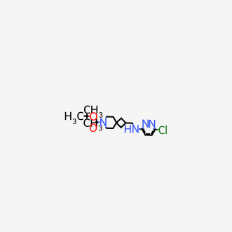 CC(C)(C)OC(=O)N1CCC2(CC1)CC(CNc1ccc(Cl)nn1)C2